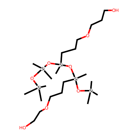 C[Si](C)(C)O[Si](C)(C)O[Si](C)(CCCOCCCO)O[Si](C)(CCCOCCO)O[Si](C)(C)C